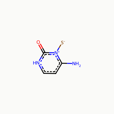 Nc1cc[nH]c(=O)[n+]1[S-]